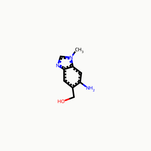 Cn1cnc2cc(CO)c(N)cc21